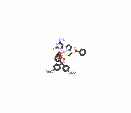 COc1ccc(C(OC[C@]23COC(C2OP(SCCSC(=O)c2ccccc2)N2CCCC2)[C@H](n2ccc(N)nc2=O)O3)(c2ccccc2)c2ccc(OC)cc2)cc1